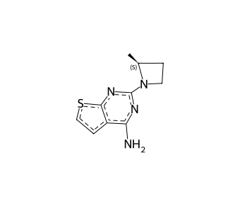 C[C@H]1CCN1c1nc(N)c2ccsc2n1